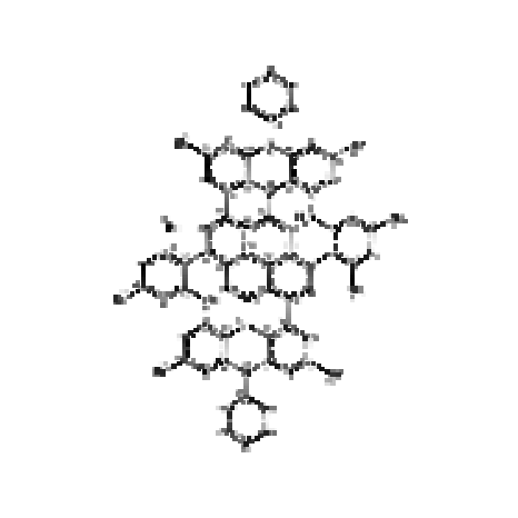 Bc1cc(C(C)(C)C)cc(C(C)(C)C)c1-c1cc2c3c(cc4c(-c5c(C(C)(C)C)cc(C(C)(C)C)cc5C(C)(C)C)cc5c6c(cc1c3c46)B1c3ccc(C(C)C)cc3N(c3ccccc3)c3cc(C(C)C)cc-5c31)C1c3ccc(C(C)C)cc3N(c3ccccc3)c3cc(C(C)C)cc-2c31